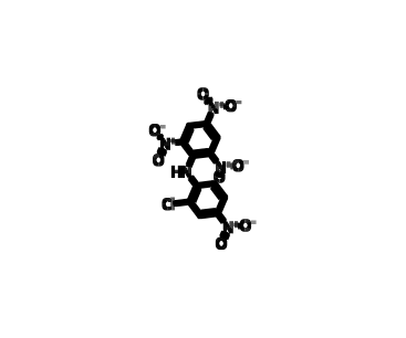 O=[N+]([O-])c1ccc(Nc2c([N+](=O)[O-])cc([N+](=O)[O-])cc2[N+](=O)[O-])c(Cl)c1